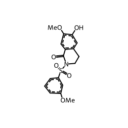 COc1cccc(S(=O)(=O)N2CCc3cc(O)c(OC)cc3C2=O)c1